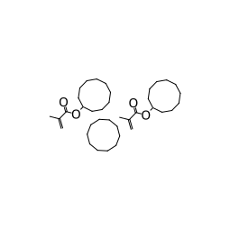 C1CCCCCCCCC1.C=C(C)C(=O)OC1CCCCCCCCC1.C=C(C)C(=O)OC1CCCCCCCCC1